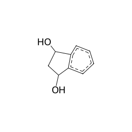 OC1CC(O)c2ccccc21